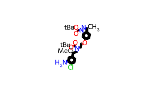 CO[C@@H](CN(CCOc1ccc2c(C)nn(C(=O)OC(C)(C)C)c2c1)C(=O)OC(C)(C)C)c1ccc(Cl)c(N)c1